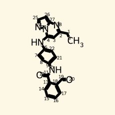 CCc1cc(Nc2ccc(NC(=O)c3ccccc3C=O)cc2)n2nccc2n1